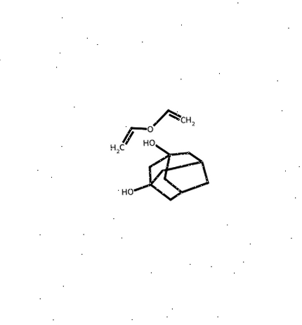 C=COC=C.OC12CC3CC(C1)CC(O)(C3)C2